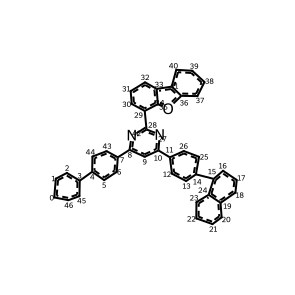 c1ccc(-c2ccc(-c3cc(-c4ccc(-c5cccc6ccccc56)cc4)nc(-c4cccc5c4oc4ccccc45)n3)cc2)cc1